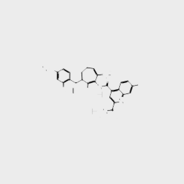 CC1=C(NC(=O)c2cc(C(N)=O)nc3cc(F)ccc23)C(C(F)(F)F)=CCCC1Cc1ccc(C#N)cc1O